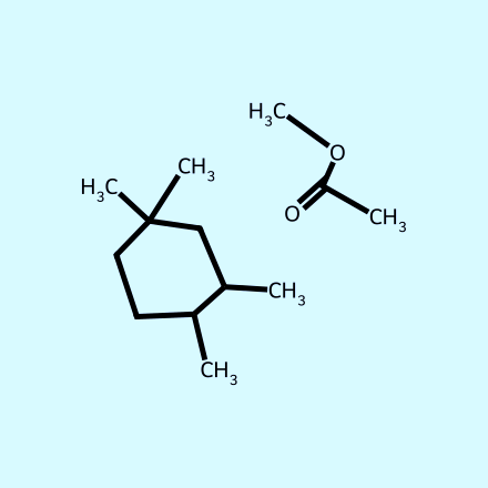 CC1CCC(C)(C)CC1C.COC(C)=O